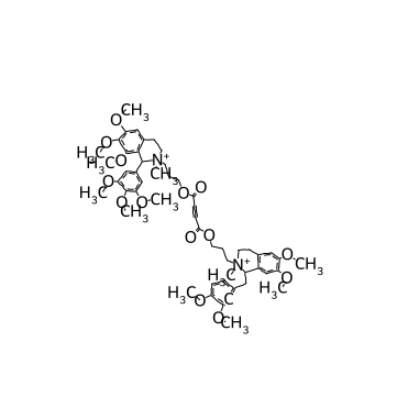 COc1ccc(CC2c3cc(OC)c(OC)cc3CC[N+]2(C)CCCOC(=O)C#CC(=O)OCCC[N+]2(C)CCc3cc(OC)c(OC)c(OC)c3C2c2cc(OC)c(OC)c(OC)c2)cc1OC